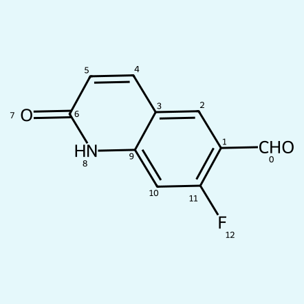 O=Cc1cc2ccc(=O)[nH]c2cc1F